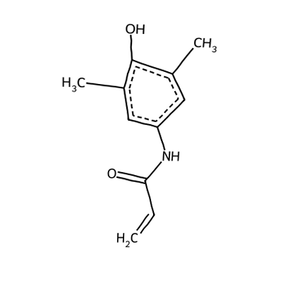 C=CC(=O)Nc1cc(C)c(O)c(C)c1